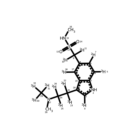 [2H]c1[nH]c2c([2H])c([2H])c(C([2H])([2H])S(=O)(=O)NC)c([2H])c2c1C([2H])([2H])C([2H])([2H])N(C)C([2H])([2H])[2H]